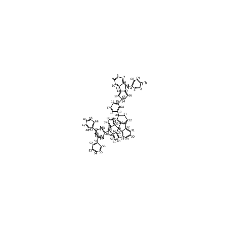 Cc1ccc(-n2c3ccccc3c3cc(-c4cccc(-c5ccc6c(c5)C5(c7ccccc7-6)c6ccccc6N(c6nc(-c7ccccc7)nc(-c7ccccc7)n6)c6ccccc65)c4)ccc32)cc1